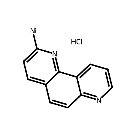 Cl.[Ni][c]1ccc2ccc3ncccc3c2n1